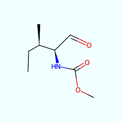 CC[C@@H](C)[C@@H](C=O)NC(=O)OC